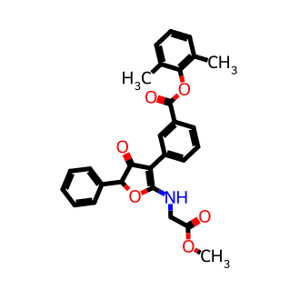 COC(=O)CNC1=C(c2cccc(C(=O)Oc3c(C)cccc3C)c2)C(=O)C(c2ccccc2)O1